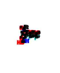 CCC(=O)N1CCC(CC(=O)NO)CC1.O=C(O)C(F)(F)F.O=C(O)C(F)(F)F